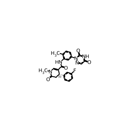 Cc1ccc(-n2ncc(=O)[nH]c2=O)cc1NC(=O)C1=CN(C)C(=O)C[C@H]1c1cccc(F)c1